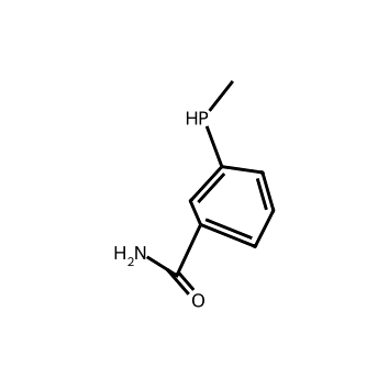 CPc1cccc(C(N)=O)c1